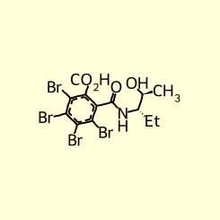 CC[C@H](NC(=O)c1c(Br)c(Br)c(Br)c(Br)c1C(=O)O)[C@H](C)O